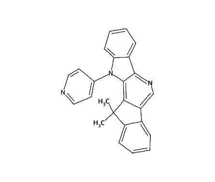 CC1(C)c2ccccc2-c2cnc3c4ccccc4n(-c4ccncc4)c3c21